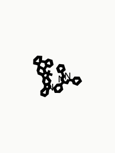 CC1(C)c2cc3c(cc2-c2ccc4c5ccccc5c5ccccc5c4c21)c1ccccc1n3-c1cccc(-c2cc(-c3ccccc3)nc(-c3ccccc3)n2)c1